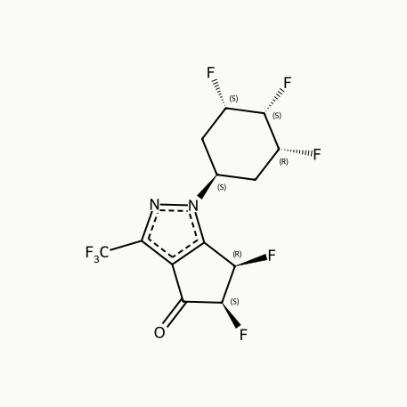 O=C1c2c(C(F)(F)F)nn([C@@H]3C[C@@H](F)[C@@H](F)[C@@H](F)C3)c2[C@@H](F)[C@H]1F